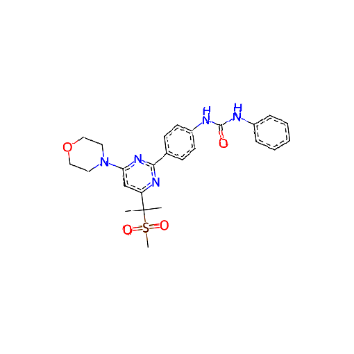 CC(C)(c1cc(N2CCOCC2)nc(-c2ccc(NC(=O)Nc3ccccc3)cc2)n1)S(C)(=O)=O